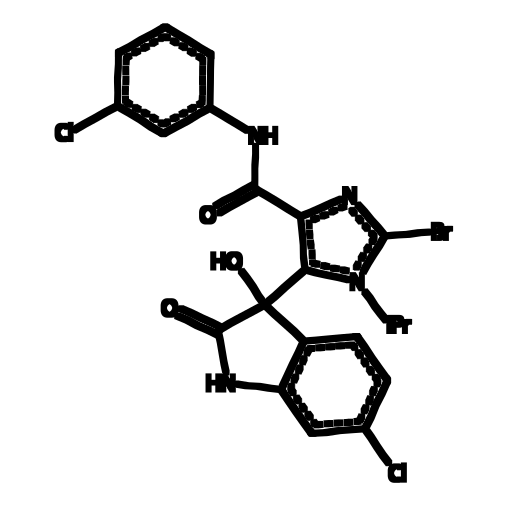 CC(C)n1c(Br)nc(C(=O)Nc2cccc(Cl)c2)c1C1(O)C(=O)Nc2cc(Cl)ccc21